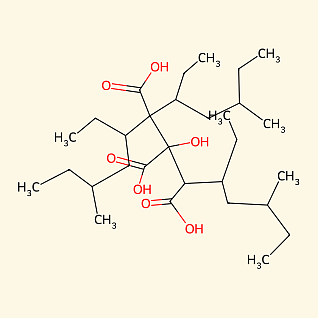 CCC(C)CC(CC)C(C(=O)O)C(O)(C(=O)O)C(C(=O)O)(C(CC)CC(C)CC)C(CC)CC(C)CC